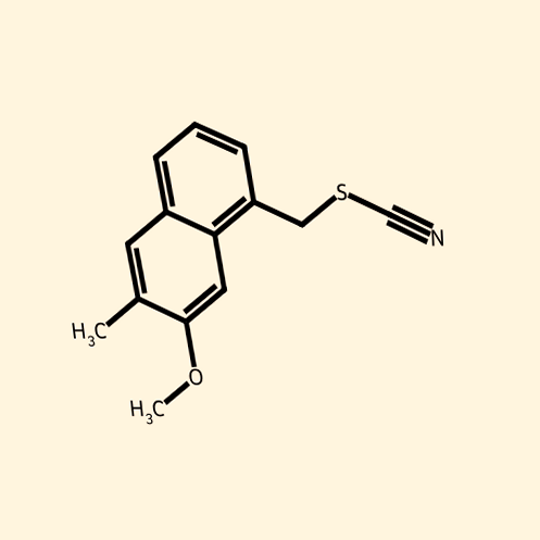 COc1cc2c(CSC#N)cccc2cc1C